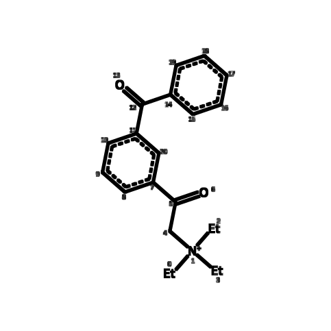 CC[N+](CC)(CC)CC(=O)c1cccc(C(=O)c2ccccc2)c1